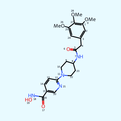 COc1cc(CC(=O)NC2CCN(c3ccc(C(=O)NO)cn3)CC2)cc(OC)c1OC